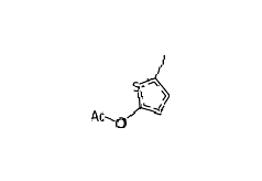 CC(=O)Oc1ccc(I)s1